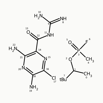 CC(OP(C)(=O)F)C(C)(C)C.N=C(N)NC(=O)c1nc(Cl)c(N)nc1N